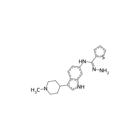 CN1CCC(c2c[nH]c3cc(NC(=NN)c4cccs4)ccc23)CC1